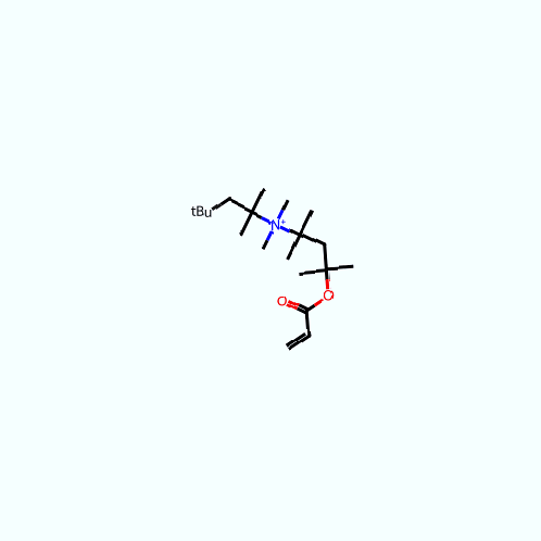 C=CC(=O)OC(C)(C)CC(C)(C)[N+](C)(C)C(C)(C)CC(C)(C)C